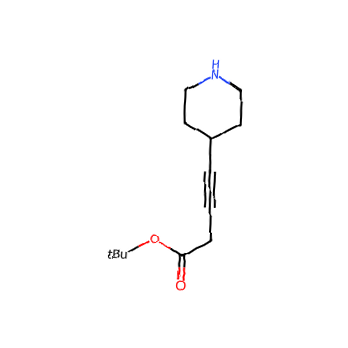 CC(C)(C)OC(=O)CC#CC1CCNCC1